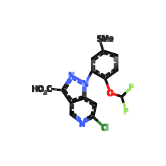 CSc1ccc(OC(F)F)c(-n2nc(C(=O)O)c3cnc(Cl)cc32)c1